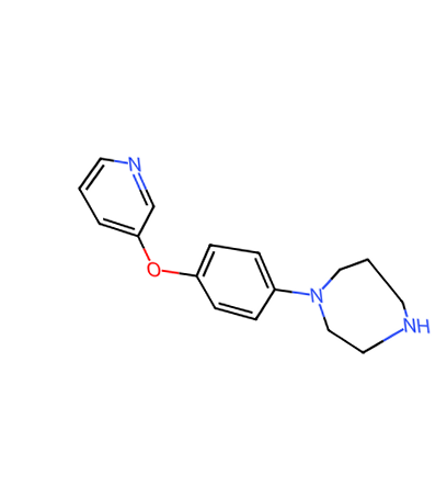 c1cncc(Oc2ccc(N3CCCNCC3)cc2)c1